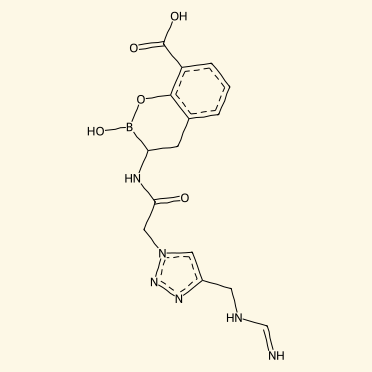 N=CNCc1cn(CC(=O)NC2Cc3cccc(C(=O)O)c3OB2O)nn1